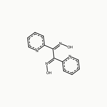 ON=C(C(=NO)c1ccccn1)c1ccccn1